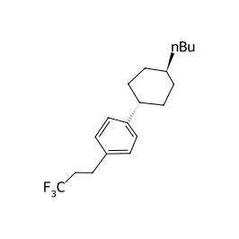 CCCC[C@H]1CC[C@H](c2ccc(CCC(F)(F)F)cc2)CC1